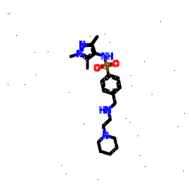 Cc1nn(C)c(C)c1NS(=O)(=O)c1ccc(CNCCN2CCCCC2)cc1